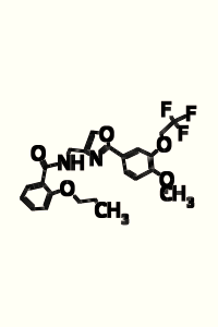 CCCOc1ccccc1C(=O)NCc1coc(-c2ccc(OC)c(OCC(F)(F)F)c2)n1